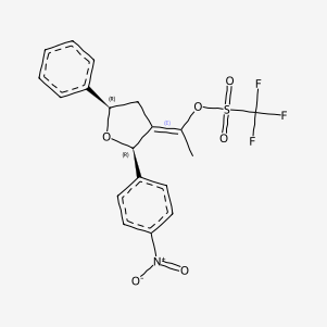 C/C(OS(=O)(=O)C(F)(F)F)=C1/C[C@H](c2ccccc2)O[C@@H]1c1ccc([N+](=O)[O-])cc1